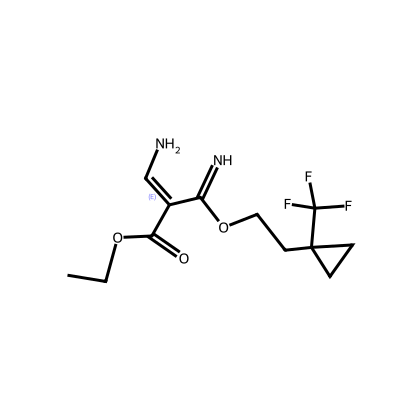 CCOC(=O)/C(=C/N)C(=N)OCCC1(C(F)(F)F)CC1